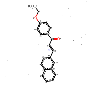 O=C(O)COc1ccc(C(=O)/C=C/c2ccc3ccccc3c2)cc1